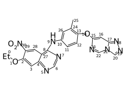 CCOc1cc2ncnc(Nc3ccc(Oc4cc5nncn5cn4)c(C)c3)c2cc1[N+](=O)[O-]